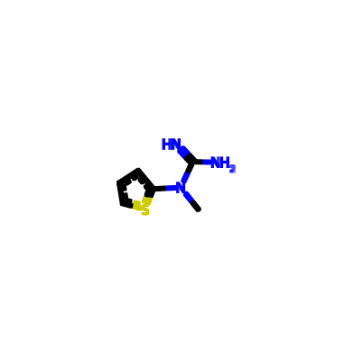 CN(C(=N)N)c1cccs1